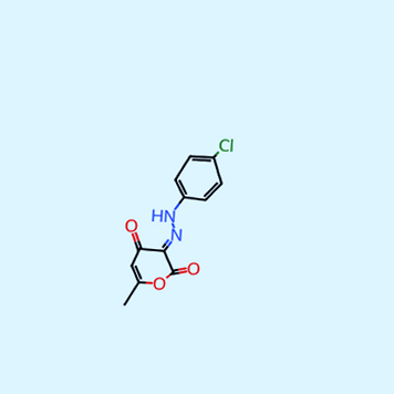 CC1=CC(=O)/C(=N\Nc2ccc(Cl)cc2)C(=O)O1